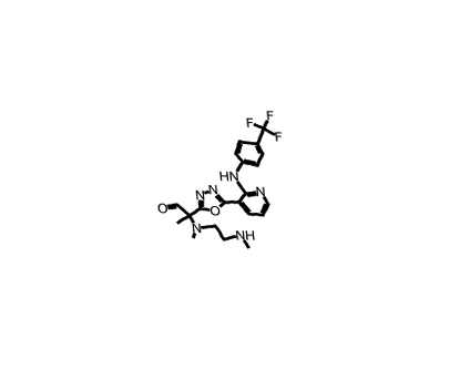 CNCCN(C)C(C)(C=O)c1nnc(-c2cccnc2Nc2ccc(C(F)(F)F)cc2)o1